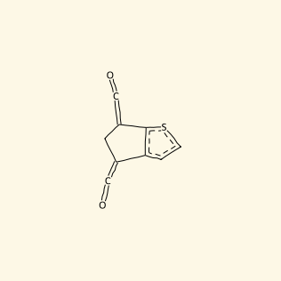 O=C=C1CC(=C=O)c2sccc21